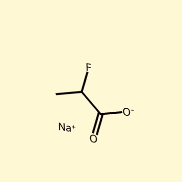 CC(F)C(=O)[O-].[Na+]